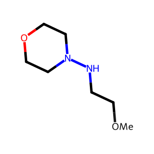 COCCNN1CCOCC1